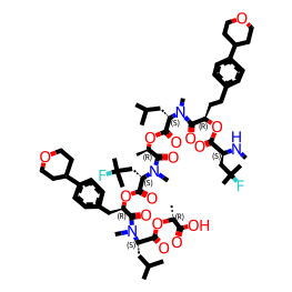 CN[C@@H](CC(C)(C)F)C(=O)O[C@H](CCc1ccc(C2CCOCC2)cc1)C(=O)N(C)[C@@H](CC(C)C)C(=O)O[C@H](C)C(=O)N(C)[C@@H](CC(C)(C)F)C(=O)O[C@H](Cc1ccc(C2CCOCC2)cc1)C(=O)N(C)[C@@H](CC(C)C)C(=O)O[C@H](C)C(=O)O